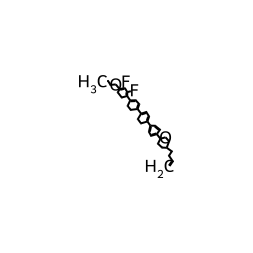 C=CCCC1CCC(c2ccc(C3=CC=C(C4=CC=C(C5=C(F)C(F)=C(OCCC)CC5)CC4)CC3)cc2)OC1